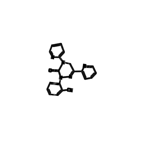 N#Cc1ccccc1N1N=C(c2ccccn2)CN(c2ccccn2)C1=O